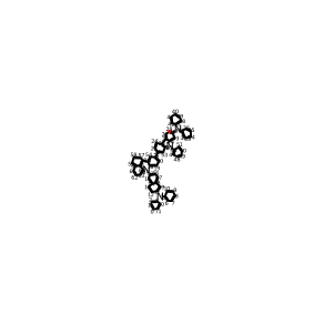 c1ccc(N(c2ccccc2)c2ccc3cc(N4c5ccc(-c6ccc7c8ccc(N(c9ccccc9)c9ccccc9)cc8n(-c8ccccc8)c7c6)cc5-c5cccc6cccc4c56)ccc3c2)cc1